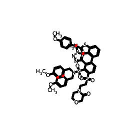 COc1ccc(CN(Cc2ccc(OC)cc2)S(=O)(=O)c2c(S(=O)(=O)CCN3CCOCC3=O)ccc(-c3cccc4sc(N)nc34)c2-c2nnn(Cc3ccc(OC)cc3)n2)cc1